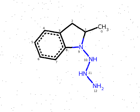 CC1Cc2ccccc2N1NNN